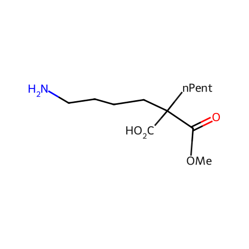 CCCCCC(CCCCN)(C(=O)O)C(=O)OC